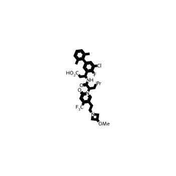 COC1CN(CCc2cn(C(CC(C)C)C(=O)NC(CC(=O)O)c3cc(-c4c(C)cccc4C)cc(Cl)c3F)c(=O)cc2C(F)(F)F)C1